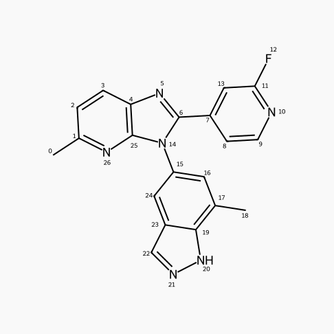 Cc1ccc2nc(-c3ccnc(F)c3)n(-c3cc(C)c4[nH]ncc4c3)c2n1